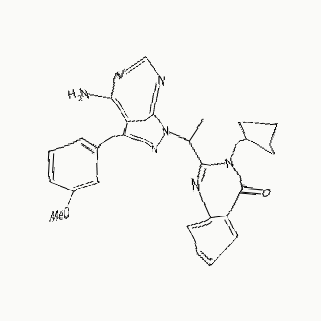 COc1cccc(-c2nn(C(C)c3nc4ccccc4c(=O)n3C3CCC3)c3ncnc(N)c23)c1